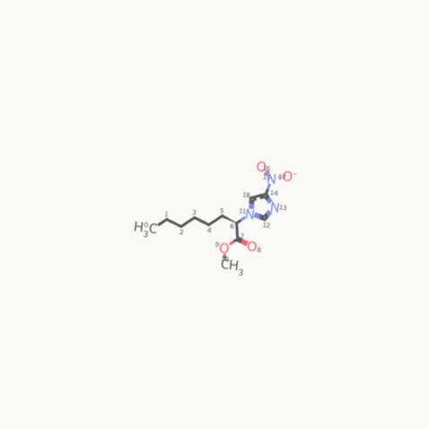 CCCCCC[C@H](C(=O)OC)n1cnc([N+](=O)[O-])c1